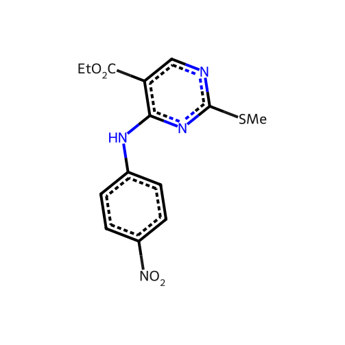 CCOC(=O)c1cnc(SC)nc1Nc1ccc([N+](=O)[O-])cc1